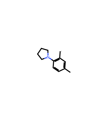 [CH2]c1cc(C)ccc1N1CCCC1